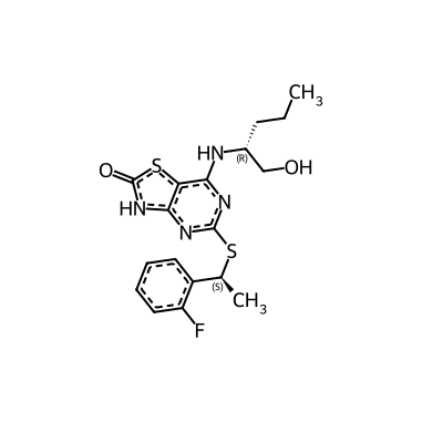 CCC[C@H](CO)Nc1nc(S[C@@H](C)c2ccccc2F)nc2[nH]c(=O)sc12